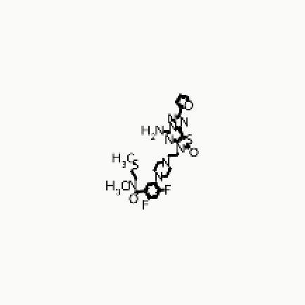 CSCCN(C)C(=O)c1cc(N2CCN(CCn3c(=O)sc4c3nc(N)n3nc(-c5ccco5)nc43)CC2)c(F)cc1F